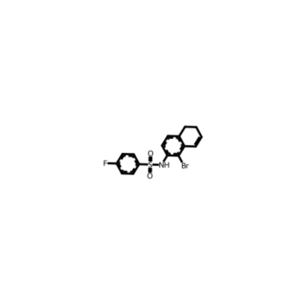 O=S(=O)(Nc1ccc2c(c1Br)C=CCC2)c1ccc(F)cc1